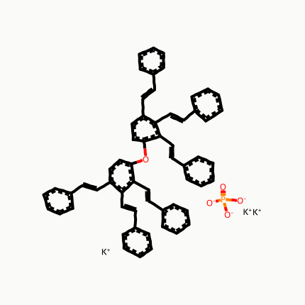 C(=Cc1ccc(Oc2ccc(C=Cc3ccccc3)c(C=Cc3ccccc3)c2C=Cc2ccccc2)c(C=Cc2ccccc2)c1C=Cc1ccccc1)c1ccccc1.O=P([O-])([O-])[O-].[K+].[K+].[K+]